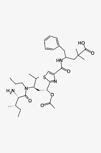 CCCN(C(=O)[C@@H](N)[C@@H](C)CC)[C@H](C[C@@H](OC(C)=O)c1nc(C(=O)NC(Cc2ccccc2)CC(C)(C)C(=O)O)cs1)C(C)C